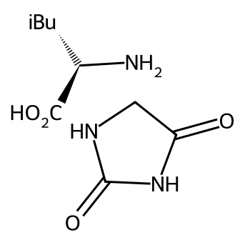 CC[C@@H](C)[C@@H](N)C(=O)O.O=C1CNC(=O)N1